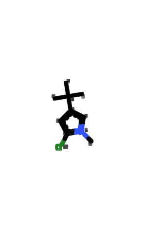 Cn1cc(C(C)(C)C)cc1Cl